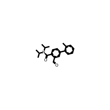 Cc1ccccc1-c1ccc(C(=O)N(C(C)C)C(C)C)c(C=O)c1